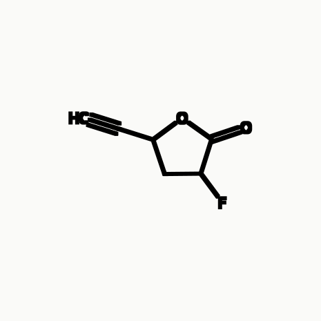 C#CC1CC(F)C(=O)O1